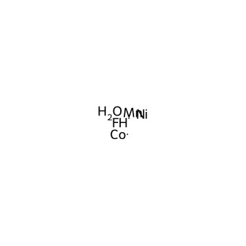 F.O.[Co].[Mn].[Ni]